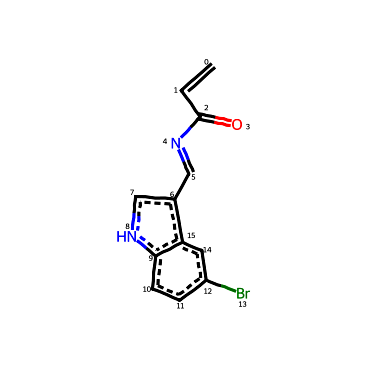 C=CC(=O)N=Cc1c[nH]c2ccc(Br)cc12